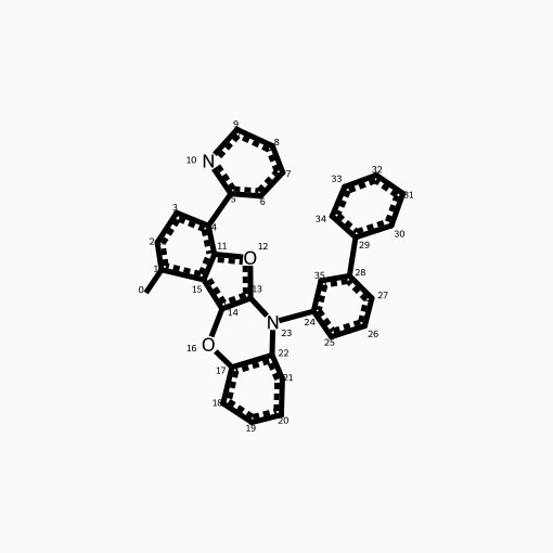 Cc1ccc(-c2ccccn2)c2oc3c(c12)Oc1ccccc1N3c1cccc(-c2ccccc2)c1